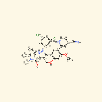 COc1cc2c(cc1-c1cc(C#N)ccn1)-c1c(c(C(=O)N(C)C(C)(C)C)nn1-c1cc(Cl)cc(Cl)c1)CO2